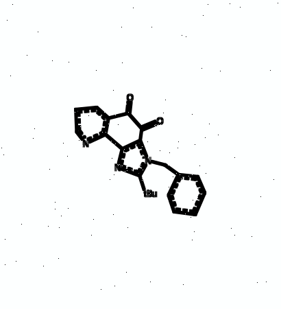 CC(C)(C)c1nc2c(n1Cc1ccccc1)C(=O)C(=O)c1cccnc1-2